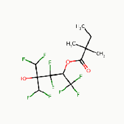 CCC(C)(C)C(=O)OC(C(F)(F)F)C(F)(F)C(O)(C(F)F)C(F)F